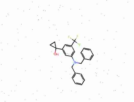 OC1(c2cc(N(Cc3ccccc3)Cc3ccccc3)cc(C(F)(F)F)c2)CC1